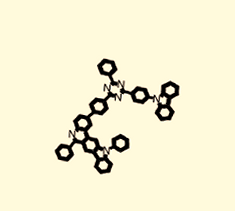 c1ccc(-c2nc(-c3ccc(-c4ccc5nc(-c6ccccc6)c6cc7c8ccccc8n(-c8ccccc8)c7cc6c5c4)cc3)nc(-c3ccc(-n4c5ccccc5c5ccccc54)cc3)n2)cc1